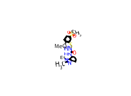 CCn1c(C)nc2cccc(NC(=O)NSc3cc(S(C)(=O)=O)ccc3OC)c21